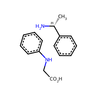 C[C@@H](N)c1ccccc1.O=C(O)CNc1ccccc1